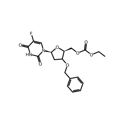 CCOC(=O)OC[C@@H]1O[C@H](n2cc(F)c(=O)[nH]c2=O)CC1OCc1ccccc1